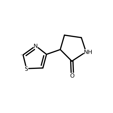 O=C1NCCC1c1cs[c]n1